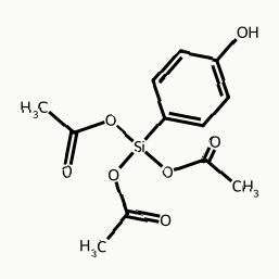 CC(=O)O[Si](OC(C)=O)(OC(C)=O)c1ccc(O)cc1